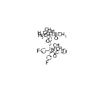 COC(=O)C[C@@H](CC(=O)C=Cc1c(-c2ccc(F)cc2)c(-c2ccc(F)cc2)c(C(=O)OCc2ccccc2)n1C(C)C)O[Si](C)(C)C(C)(C)C